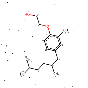 Cc1cc(CC(C)CCC(C)C)ccc1OCCO